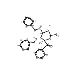 CC[C@H]1O[C@@](Br)(C(=O)c2ccccc2)[C@H](OCc2ccccc2)[C@@H](OCc2ccccc2)[C@@H]1C